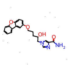 NC(=O)c1cn(C[C@@H](O)CCCOc2ccc3oc4ccccc4c3c2)cn1